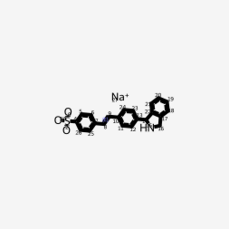 O=S(=O)([O-])c1ccc(/C=C/c2ccc(C3NCc4ccccc43)cc2)cc1.[Na+]